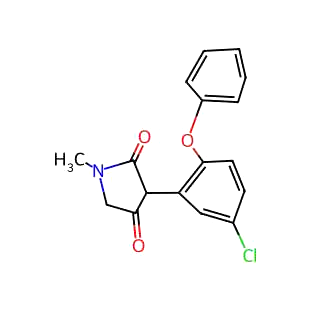 CN1CC(=O)C(c2cc(Cl)ccc2Oc2ccccc2)C1=O